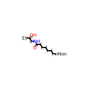 CCCCCCCCCCCCCCCC(=O)NCC(O)CC